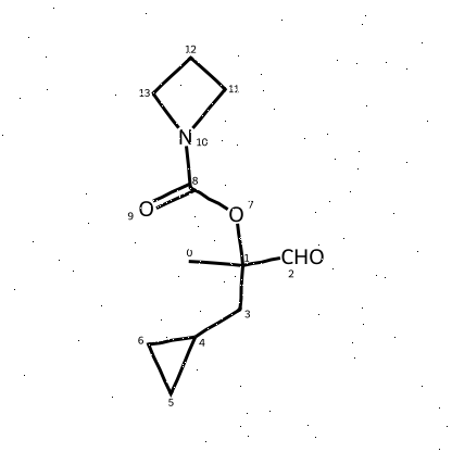 CC(C=O)(CC1CC1)OC(=O)N1CCC1